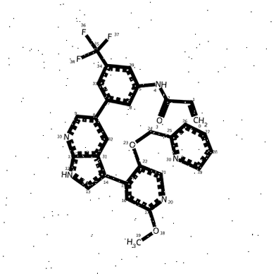 C=CC(=O)Nc1cc(-c2cnc3[nH]cc(-c4cc(OC)ncc4OCc4ccccn4)c3c2)cc(C(F)(F)F)c1